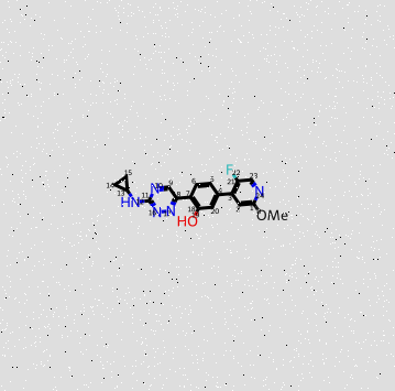 COc1cc(-c2ccc(-c3cnc(NC4CC4)nn3)c(O)c2)c(F)cn1